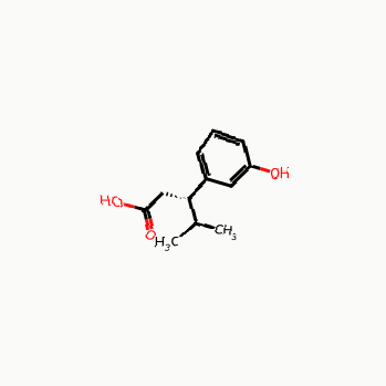 CC(C)[C@H](CC(=O)O)c1cccc(O)c1